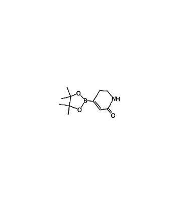 CC1(C)OB(C2=CC(=O)NCC2)OC1(C)C